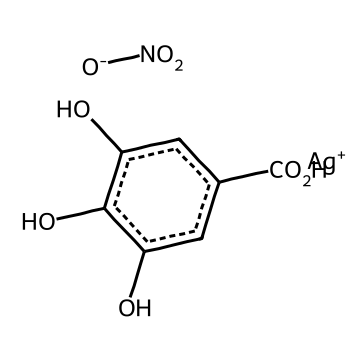 O=C(O)c1cc(O)c(O)c(O)c1.O=[N+]([O-])[O-].[Ag+]